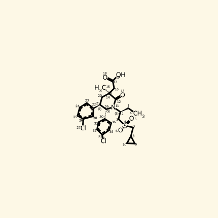 CC[C@@H](CS(=O)(=O)CC1CC1)N1C(=O)[C@](C)(CC(=O)O)C[C@H](c2cccc(Cl)c2)[C@H]1c1ccc(Cl)cc1